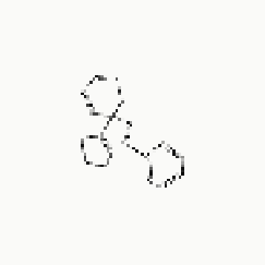 C1=CCC(C=Cc2ccccc2)(C2=CCCC2)C=C1